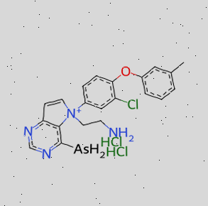 Cc1cccc(Oc2ccc([N+]3(CCN)C=Cc4ncnc([AsH2])c43)cc2Cl)c1.Cl.Cl